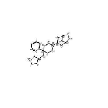 c1ccc2c(c1)C1OCCC1CC21CCN(C2CC3CCC(C3)C2)CC1